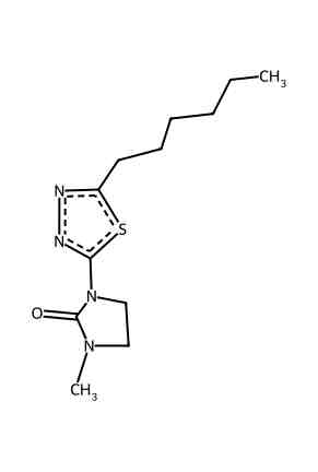 CCCCCCc1nnc(N2CCN(C)C2=O)s1